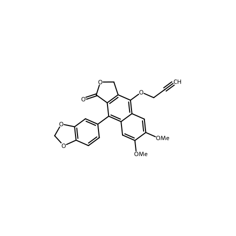 C#CCOc1c2c(c(-c3ccc4c(c3)OCO4)c3cc(OC)c(OC)cc13)C(=O)OC2